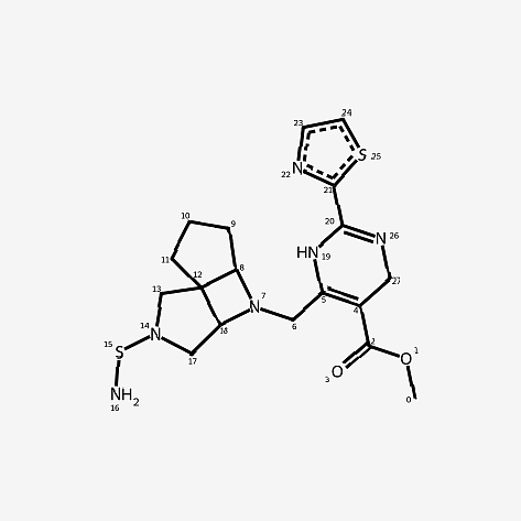 COC(=O)C1=C(CN2C3CCCC34CN(SN)CC24)NC(c2nccs2)=NC1